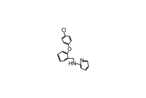 Clc1ccc(Oc2ccccc2CNc2ccccn2)cc1